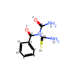 NC(=O)N(C(=O)c1ccccc1)C(N)=S